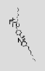 CCCCCCCCc1ccc2nc(-c3ccc(COC(CCCCCC)C(F)(F)F)cc3)sc2c1